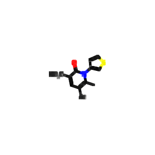 CC(=O)c1cc(C(=O)O)c(=O)n(-c2ccsc2)c1C